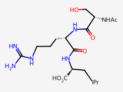 CC(=O)N[C@@H](CO)C(=O)N[C@@H](CCCNC(=N)N)C(=O)N[C@@H](CC(C)C)C(=O)O